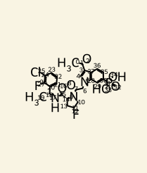 CC(=O)c1cn(CC(=O)N2C[C@H](F)C[C@H]2C(=O)N[C@H](C)c2cccc(Cl)c2F)c2cc(P(=O)(O)O)ccc12